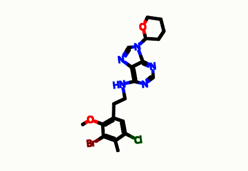 COc1c(CCNc2ncnc3c2ncn3C2CCCCO2)cc(Cl)c(C)c1Br